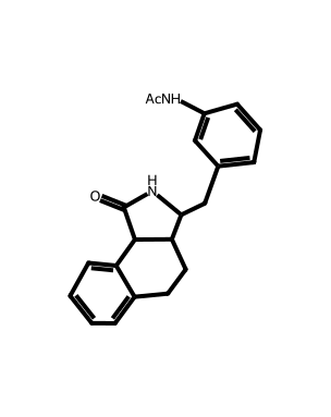 CC(=O)Nc1cccc(CC2NC(=O)C3c4ccccc4CCC23)c1